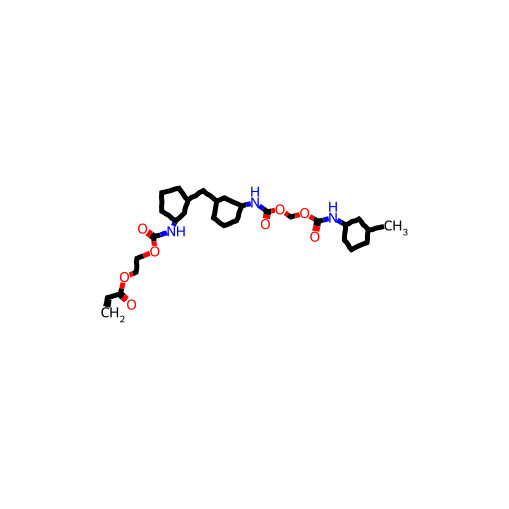 C=CC(=O)OCCOC(=O)NC1CCCC(CC2CCCC(NC(=O)OCOC(=O)NC3CCCC(C)C3)C2)C1